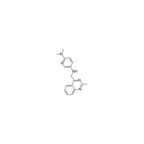 Cc1nc(CNc2ccc(N(C)C)nc2)c2ccccc2n1